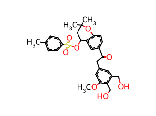 COc1cc(CC(=O)c2ccc3c(c2)C(OS(=O)(=O)c2ccc(C)cc2)CC(C)(C)O3)cc(CO)c1CO